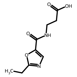 CCc1ncc(C(=O)NCCC(=O)O)o1